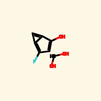 OBO.Oc1cc(F)c2cc1-2